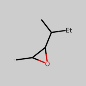 [CH2]C1OC1C(C)CC